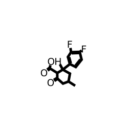 CC1CC(=O)C(C(=O)O)C(C)(c2ccc(F)c(F)c2)C1